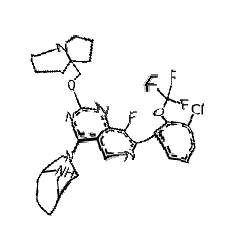 Fc1c(-c2cccc(Cl)c2OC(F)(F)F)ncc2c(N3CC4CCC(C3)N4)nc(OCC34CCCN3CCC4)nc12